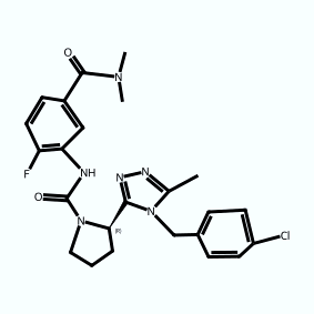 Cc1nnc([C@H]2CCCN2C(=O)Nc2cc(C(=O)N(C)C)ccc2F)n1Cc1ccc(Cl)cc1